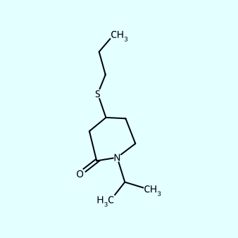 CCCSC1CCN(C(C)C)C(=O)C1